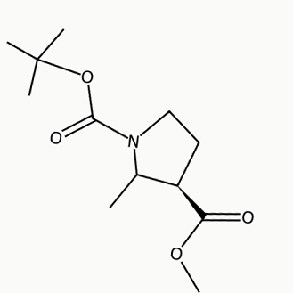 COC(=O)[C@@H]1CCN(C(=O)OC(C)(C)C)C1C